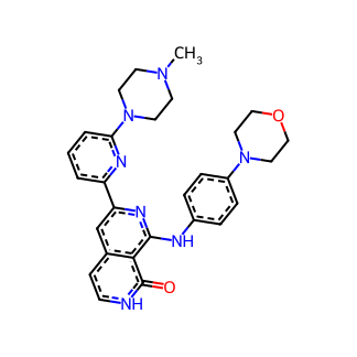 CN1CCN(c2cccc(-c3cc4cc[nH]c(=O)c4c(Nc4ccc(N5CCOCC5)cc4)n3)n2)CC1